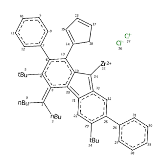 CCCCC(CCCC)=c1c(C(C)(C)C)c(-c2ccccc2)c(C2=CC=CC2)c2c1=c1cc(C(C)(C)C)c(-c3ccccc3)cc1=[C]2[Zr+2].[Cl-].[Cl-]